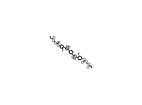 C=CC(=O)OCOC(=O)Oc1ccc(-c2noc(-c3ccc(-c4nc(-c5ccc(OC(=O)OCOC(=O)C=C)cc5F)no4)cc3)n2)c(F)c1